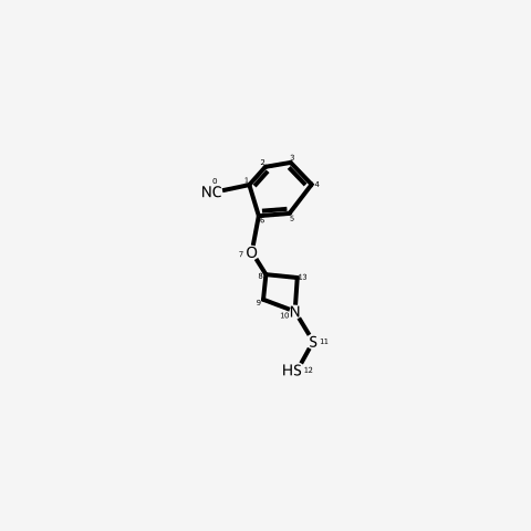 N#Cc1ccccc1OC1CN(SS)C1